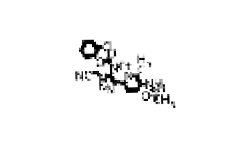 CCN(C(=O)Oc1ccccc1Cl)c1c(-c2ccc(NS(C)(=O)=O)c(C)n2)nnn1CC#N